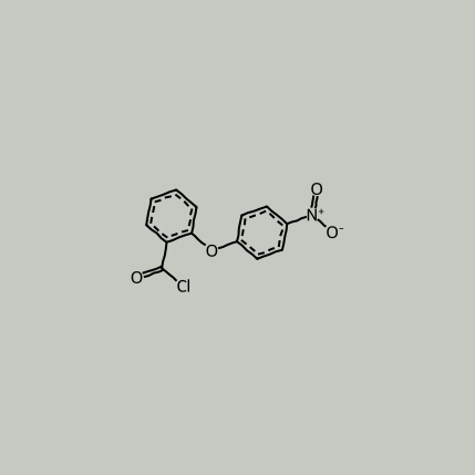 O=C(Cl)c1ccccc1Oc1ccc([N+](=O)[O-])cc1